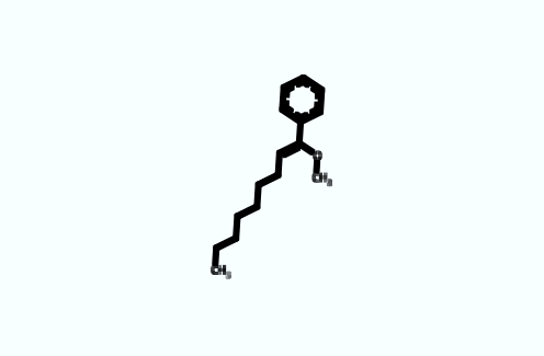 CCCCCCCC=C(OC)c1ccccc1